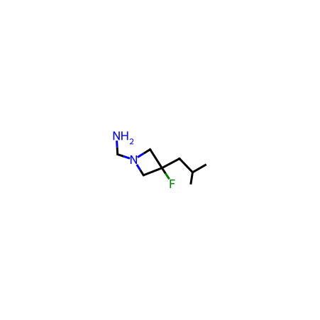 CC(C)CC1(F)CN(CN)C1